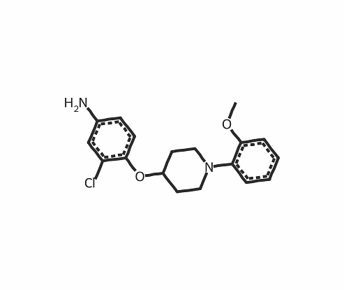 COc1ccccc1N1CCC(Oc2ccc(N)cc2Cl)CC1